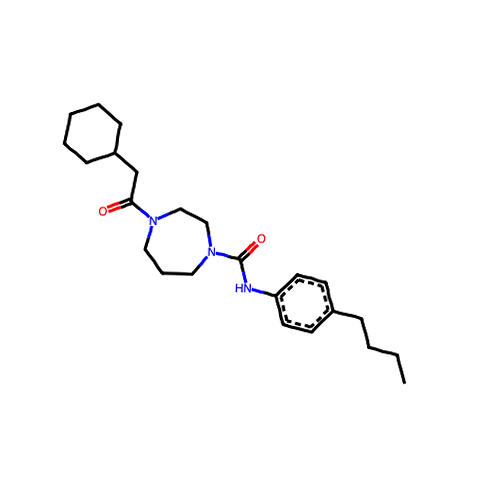 CCCCc1ccc(NC(=O)N2CCCN(C(=O)CC3CCCCC3)CC2)cc1